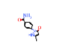 Cc1cc(=O)n(-c2ccc(C(N)=O)cc2)[nH]1